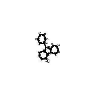 Clc1[c]ccc2c1c1ccccc1n2-c1ccccc1